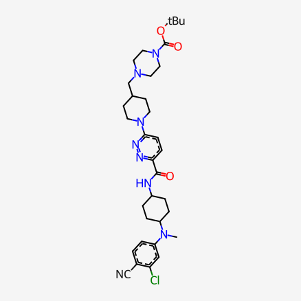 CN(c1ccc(C#N)c(Cl)c1)C1CCC(NC(=O)c2ccc(N3CCC(CN4CCN(C(=O)OC(C)(C)C)CC4)CC3)nn2)CC1